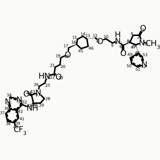 CN1C(=O)C[C@H](C(=O)NCCOC[C@H]2CC[C@H](COCCCC(=O)NCCN3CC[C@H](Nc4ncnc5ccc(C(F)(F)F)cc45)C3=O)CC2)[C@H]1c1cccnc1